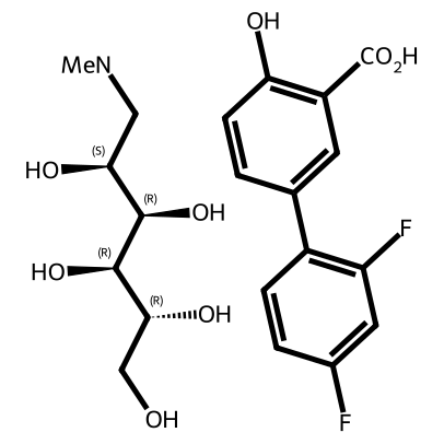 CNC[C@H](O)[C@@H](O)[C@H](O)[C@H](O)CO.O=C(O)c1cc(-c2ccc(F)cc2F)ccc1O